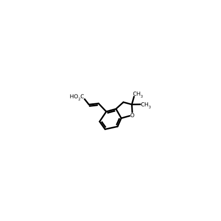 CC1(C)Cc2c(C=CC(=O)O)cccc2O1